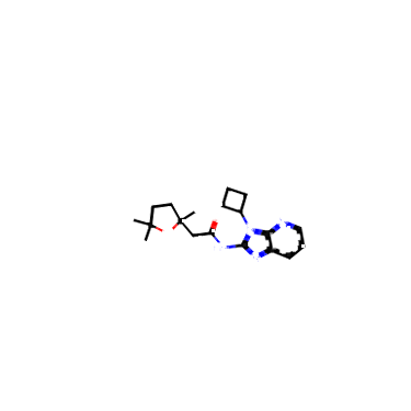 CC1(C)CCC(C)(CC(=O)Nc2nc3cccnc3n2C2CCC2)O1